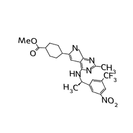 COC(=O)C1CCC(c2cc3c(N[C@H](C)c4cc([N+](=O)[O-])cc(C(F)(F)F)c4)nc(C)nc3cn2)CC1